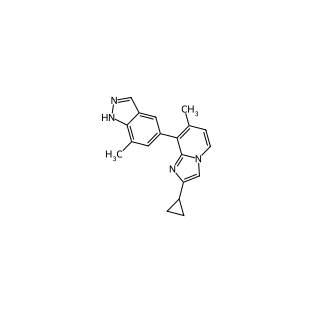 Cc1ccn2cc(C3CC3)nc2c1-c1cc(C)c2[nH]ncc2c1